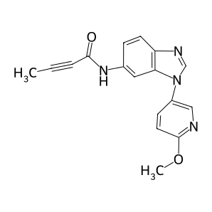 CC#CC(=O)Nc1ccc2ncn(-c3ccc(OC)nc3)c2c1